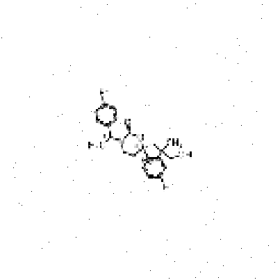 C[C@@H](c1ccc(Br)cc1)N1CC[C@](CC(C)(C)CO)(c2ccc(F)cc2)OC1=O